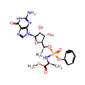 COC(=O)[C@H](C)NP(=O)(Oc1ccccc1)O[C@@H](C)[C@H]1O[C@@H](n2cnc3c(=O)[nH]c(N)nc32)[C@H](O)[C@@H]1O